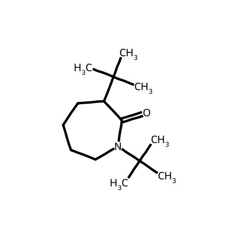 CC(C)(C)C1CCCCN(C(C)(C)C)C1=O